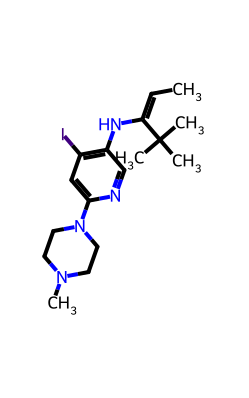 CC=C(Nc1cnc(N2CCN(C)CC2)cc1I)C(C)(C)C